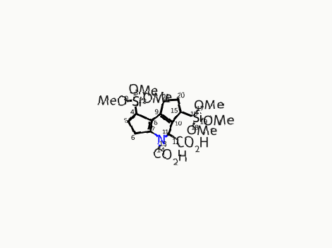 CO[Si](OC)(OC)C1CCC2=C1C1=C(C(C(=O)O)N2C(=O)O)C([Si](OC)(OC)OC)CC1